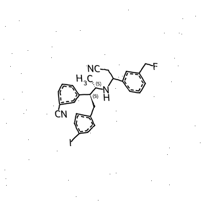 C[C@H](NC(CC#N)c1cccc(CF)c1)[C@@H](Cc1ccc(I)cc1)c1cccc(C#N)c1